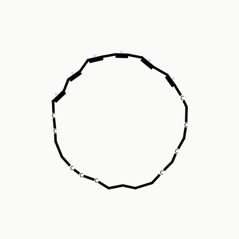 [C]1=C/C=C/C=C\C=C\C=C\C=C\CCCCCCCCCCCCCCCCCC/1